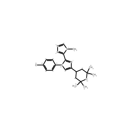 Cn1cnnc1-c1nc(C2CC(C)(C)OC(C)(C)C2)cn1-c1ccc(Cl)cc1